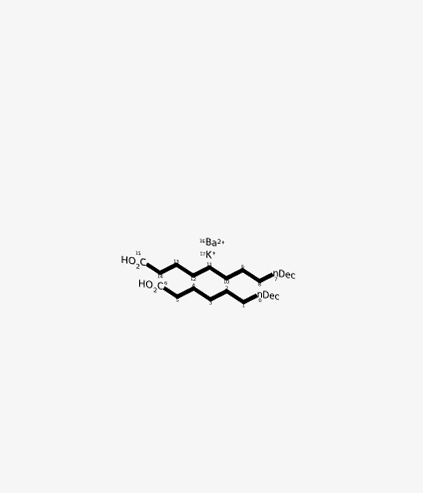 CCCCCCCCCCCCCCCC(=O)O.CCCCCCCCCCCCCCCCCC(=O)O.[Ba+2].[K+]